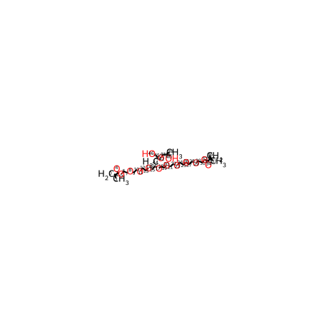 C=C(C)C(=O)OCCOCCOCCOCCOCCOCCOCCOCCOCCOC(=O)C(=C)C.CC(O)COC(C)CO